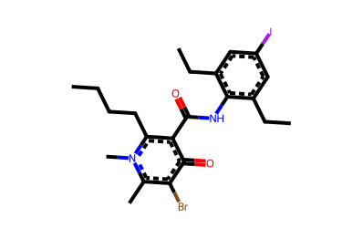 CCCCc1c(C(=O)Nc2c(CC)cc(I)cc2CC)c(=O)c(Br)c(C)n1C